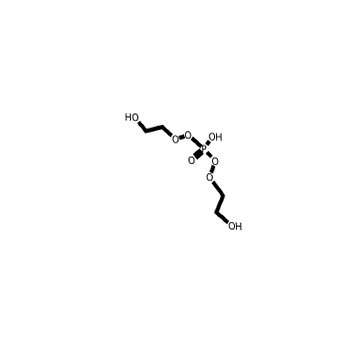 O=P(O)(OOCCO)OOCCO